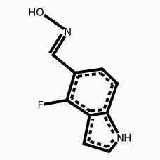 ON=Cc1ccc2[nH]ccc2c1F